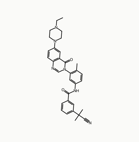 CCN1CCN(c2ccc3ncn(-c4cc(NC(=O)c5cccc(C(C)(C)C#N)c5)ccc4C)c(=O)c3c2)CC1